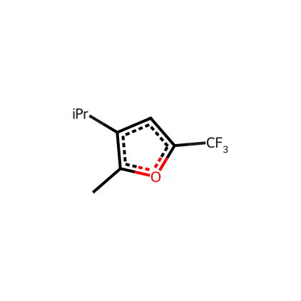 Cc1oc(C(F)(F)F)cc1C(C)C